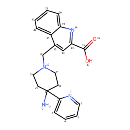 NC1(c2ccccn2)CCN(Cc2cc(C(=O)O)nc3ccccc23)CC1